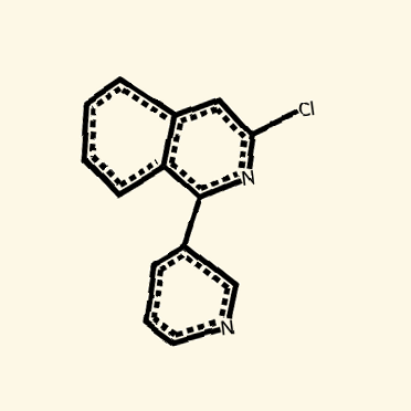 Clc1cc2ccccc2c(-c2cccnc2)n1